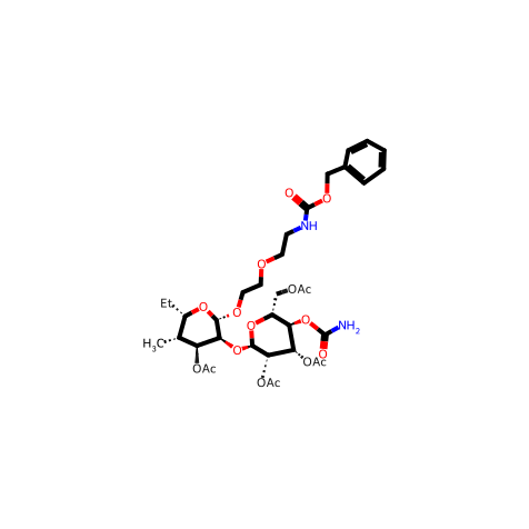 CC[C@@H]1O[C@H](OCCOCCNC(=O)OCc2ccccc2)[C@@H](O[C@H]2O[C@H](COC(C)=O)[C@@H](OC(N)=O)[C@H](OC(C)=O)[C@@H]2OC(C)=O)[C@@H](OC(C)=O)[C@@H]1C